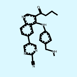 CCCC(=O)c1cnc2ccc(-c3cnc(C#N)nc3)cc2c1Nc1ccc(CNC)cc1